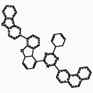 C1=CCC(c2nc(C3=CC=CC4Oc5c(-c6ccc7oc8ccccc8c7c6)cccc5C34)nc(-c3ccc4ccc5ccccc5c4c3)n2)C=C1